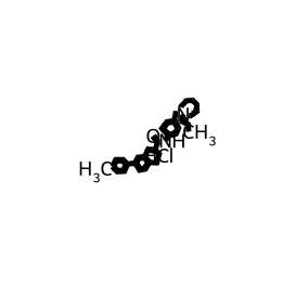 CCC[N+]1(Cc2ccc(NC(=O)C3=Cc4cc(-c5ccc(C)cc5)ccc4CC3)cc2)CCCCCC1.Cl